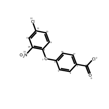 O=C(Cl)c1ccc(Oc2ccc(Cl)cc2[N+](=O)[O-])cc1